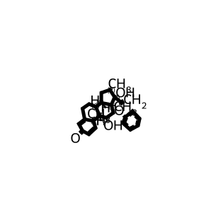 C=C(Oc1ccccc1)[C@@]1(O)[C@H](C)C[C@H]2[C@@H]3CCC4=CC(=O)C=C[C@]4(C)[C@H]3[C@@H](O)C[C@@]21C